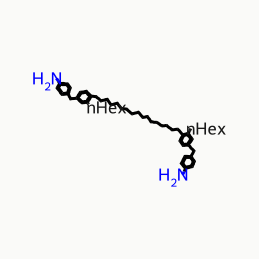 CCCCCCc1cc(Cc2ccc(N)cc2)ccc1CCCCCCCCCCCCCCCCCc1ccc(Cc2ccc(N)cc2)cc1CCCCCC